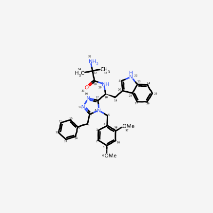 COc1ccc(Cn2c(Cc3ccccc3)nnc2[C@H](Cc2c[nH]c3ccccc23)NC(=O)C(C)(C)N)c(OC)c1